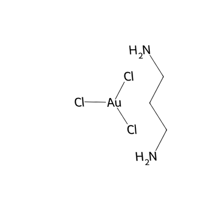 NCCCN.[Cl][Au]([Cl])[Cl]